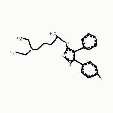 CCN(CC)CCCC(C)Nc1n[nH]c(-c2ccc(F)cc2)c1-c1ccncc1